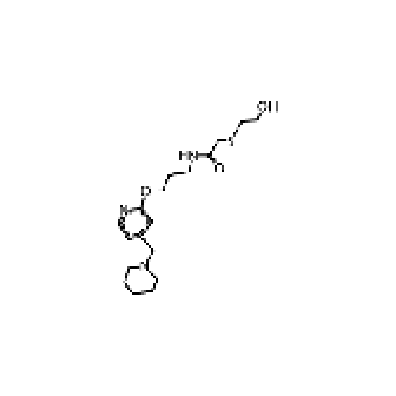 O=C(CSCCO)NCCCOc1cc(CN2CCCCC2)ccn1